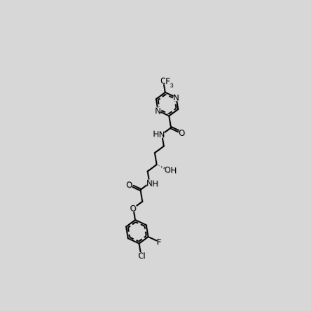 O=C(COc1ccc(Cl)c(F)c1)NC[C@@H](O)CCNC(=O)c1cnc(C(F)(F)F)cn1